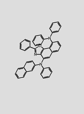 c1ccc(-c2nc3c(N(c4ccccc4)c4ccc5ccccc5c4)cc4cccc(N(c5ccccc5)c5ccccc5)c4c3o2)cc1